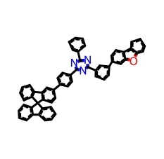 c1ccc(-c2nc(-c3ccc(-c4ccc5c(c4)-c4ccccc4C54c5ccccc5-c5ccccc54)cc3)nc(-c3cccc(-c4ccc5c(c4)oc4ccccc45)c3)n2)cc1